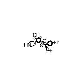 COc1ccc(S(=O)(=O)c2cn(C(F)F)c3cc(Br)ccc23)cc1N1CCNCC1